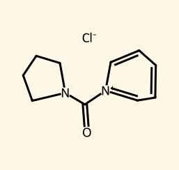 O=C(N1CCCC1)[n+]1ccccc1.[Cl-]